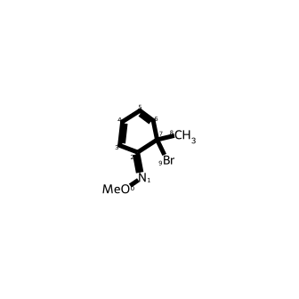 CON=C1C=CC=CC1(C)Br